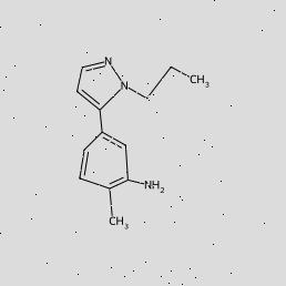 CCCn1nccc1-c1ccc(C)c(N)c1